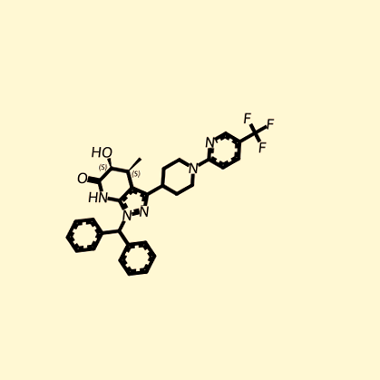 C[C@H]1c2c(C3CCN(c4ccc(C(F)(F)F)cn4)CC3)nn(C(c3ccccc3)c3ccccc3)c2NC(=O)[C@H]1O